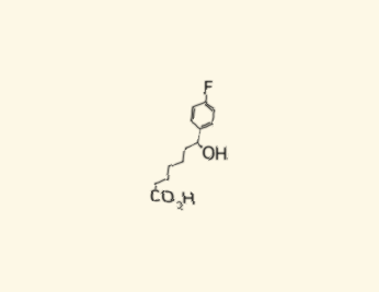 O=C(O)CCCCC[C@H](O)c1ccc(F)cc1